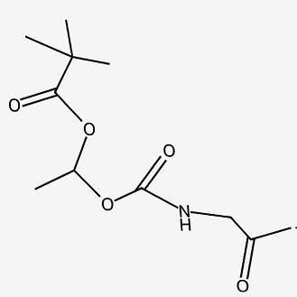 [CH2]C(=O)CNC(=O)OC(C)OC(=O)C(C)(C)C